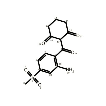 CS(=O)(=O)c1ccc(C(=O)C2C(=O)CCCC2=O)c(N)c1